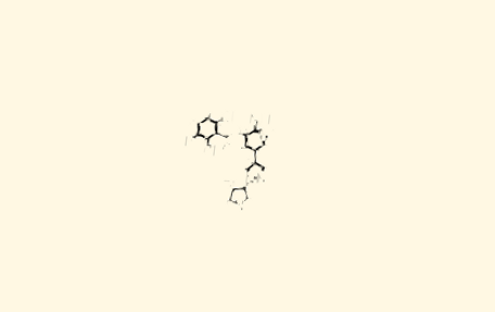 C[C@@H](Oc1cc(-c2cnn([C@@H]3CNC[C@@H]3F)c2)cnc1N)c1c(Cl)ccc(F)c1Cl